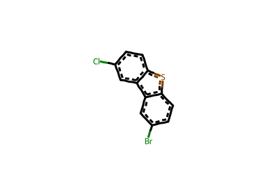 Clc1ccc2sc3ccc(Br)cc3c2c1